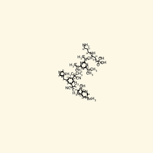 CC(C)(C#N)c1cc(Cn2cncn2)cc(C(C)(C)C#N)c1.CN(C)c1nc(N(C)C)nc(N(C)C)n1.NCCCNCCSP(=O)(O)O.On1cnc2cncnc21.[AsH3]